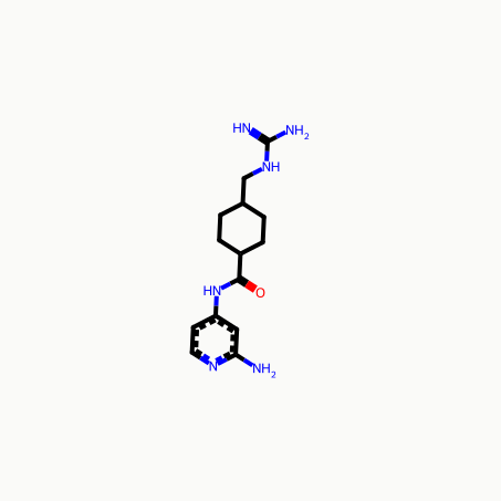 N=C(N)NCC1CCC(C(=O)Nc2ccnc(N)c2)CC1